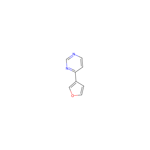 c1cc(-c2ccoc2)ncn1